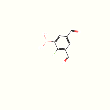 O=Cc1cc(C=O)c(F)c(B(O)O)c1